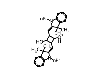 CCCN1/C(=C/C2C(O)C(/C=C3/N(CCC)c4ccccc4C3(C)C)C2O)C(C)(C)c2ccccc21